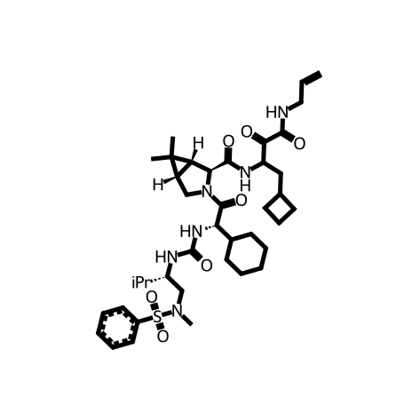 C=CCNC(=O)C(=O)C(CC1CCC1)NC(=O)[C@@H]1[C@@H]2[C@H](CN1C(=O)[C@@H](NC(=O)N[C@H](CN(C)S(=O)(=O)c1ccccc1)C(C)C)C1CCCCC1)C2(C)C